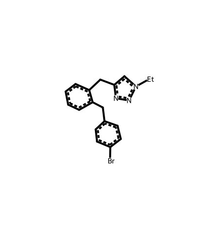 CCn1cc(Cc2ccccc2Cc2ccc(Br)cc2)nn1